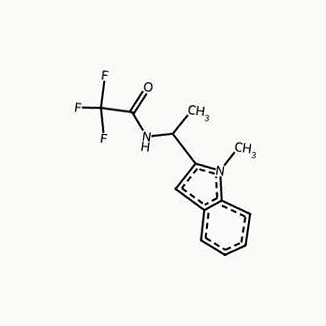 CC(NC(=O)C(F)(F)F)c1cc2ccccc2n1C